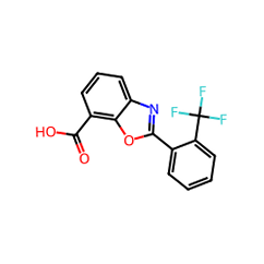 O=C(O)c1cccc2nc(-c3ccccc3C(F)(F)F)oc12